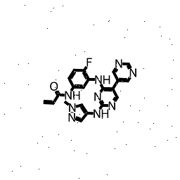 C=CC(=O)Nc1ccc(F)c(Nc2nc(Nc3cnn(C)c3)ncc2-c2cncnc2)c1